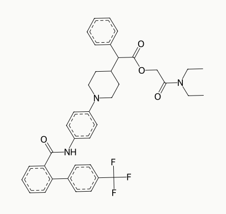 CCN(CC)C(=O)COC(=O)C(c1ccccc1)C1CCN(c2ccc(NC(=O)c3ccccc3-c3ccc(C(F)(F)F)cc3)cc2)CC1